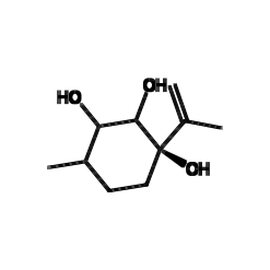 C=C(C)[C@]1(O)CCC(C)C(O)C1O